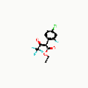 CCOC(=O)C(C(=O)C(F)(F)F)c1ccc(Cl)cc1F